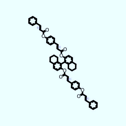 O=C(/C=C/c1ccccc1)Oc1ccc(/C=C/C(=O)Oc2ccc3c(c2-c2c(OC(=O)/C=C/c4ccc(OC(=O)/C=C/c5ccccc5)cc4)ccc4c2CCCC4)CCCC3)cc1